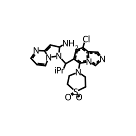 CC(C)C(c1cc(Cl)c2cncn2c1N1CCS(=O)(=O)CC1)N1C(N)C=C2N=CC=CN21